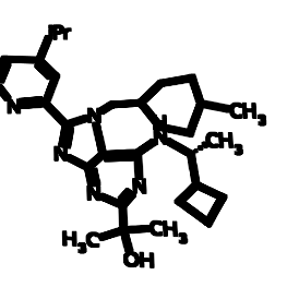 CC1CCC(Cn2c(-c3cc(C(C)C)ccn3)nc3nc(C(C)(C)O)nc(N[C@H](C)C4CCC4)c32)CC1